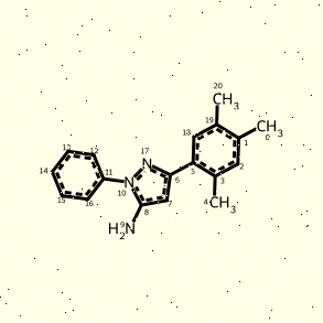 Cc1cc(C)c(-c2cc(N)n(-c3ccccc3)n2)cc1C